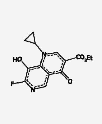 CCOC(=O)c1cn(C2CC2)c2c(O)c(F)ncc2c1=O